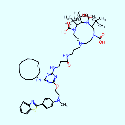 CN(CCOc1nc(NCCC(=O)NCCCN2CCN(C(=O)O)CC(C(C)(C)C)N(C(=O)O)C(C(C)(C)C)C(C(C)(C)C)N(C(=O)O)CC2)nc(NC2CCCCCCCCCCC2)n1)c1ccc(-c2nc3ccccc3s2)cc1